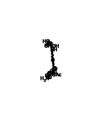 CC(=O)ON(c1cccc(S(N)(=O)=O)c1)S(=O)(=O)c1cccc(CCCCOCCCCCCNC[C@@H](O)c2ccc(O)c(CO)c2)c1